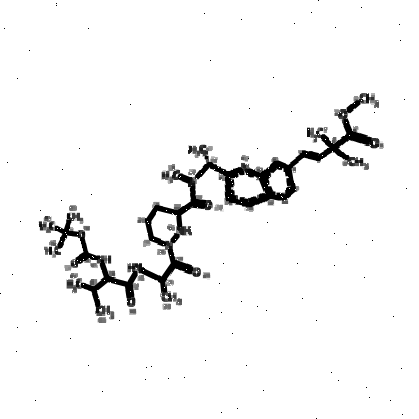 COC(=O)C(C)(C)C=Cc1ccc2ccc([C@@H](C)N(C)C(=O)C3CCCN(C(=O)C(C)NC(=O)C(NC(=O)OC(C)(C)C)C(C)C)N3)nc2c1